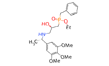 CCOP(=O)(Cc1ccccc1)C[C@H](O)CN[C@@H](C)c1cc(OC)c(OC)c(OC)c1